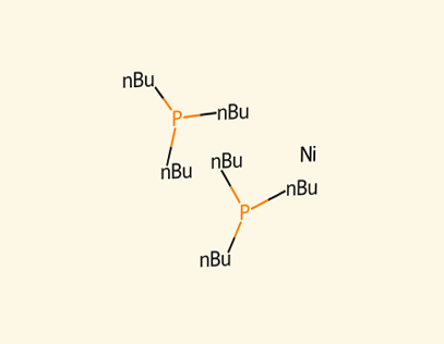 CCCCP(CCCC)CCCC.CCCCP(CCCC)CCCC.[Ni]